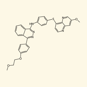 COCCOc1ccc(-c2nnc(Nc3ccc(Sc4ccnc5cc(OC)cnc45)cc3)c3ccccc23)cc1